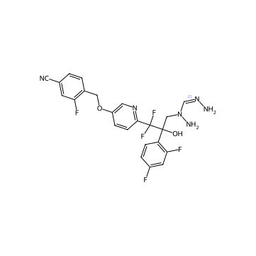 N#Cc1ccc(COc2ccc(C(F)(F)C(O)(CN(N)/C=N\N)c3ccc(F)cc3F)nc2)c(F)c1